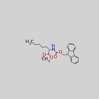 CCCCCC(NC(=O)OCC1c2ccccc2-c2ccccc21)C(=O)OC